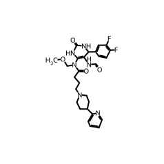 COCN(C(=O)CCCN1CCC(c2ccccn2)CC1)C1=C(NC=O)C(c2ccc(F)c(F)c2)NC(=O)N1